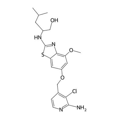 COc1cc(OCc2ccnc(N)c2Cl)cc2sc(NC(CO)CC(C)C)nc12